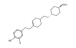 CCCCCCCC[C@H]1CC[C@H](CCC2CC=C(CCc3ccc(C#N)c(F)c3)CC2)CC1